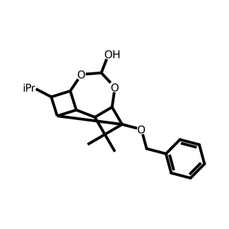 CC(C)C1C2OC(O)OC3C4C2C1C3(OCc1ccccc1)C4(C)C